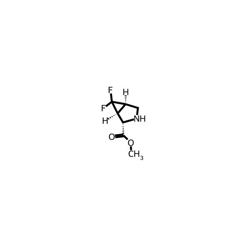 COC(=O)[C@H]1NC[C@H]2[C@@H]1C2(F)F